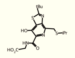 CC(C)SCc1nc(C(=O)NCC(=O)O)c(O)c2sc(C(C)(C)C)nc12